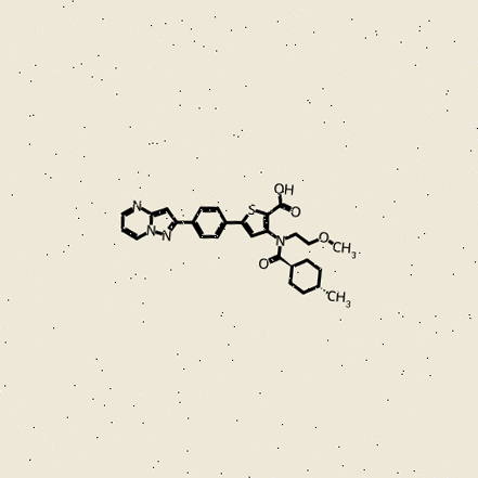 COCCN(c1cc(-c2ccc(-c3cc4ncccn4n3)cc2)sc1C(=O)O)C(=O)[C@H]1CC[C@H](C)CC1